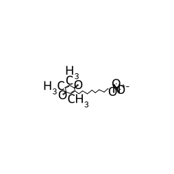 CC1=C(C)C(=O)C(CCCCCCCCO[N+](=O)[O-])=C(C)C1=O